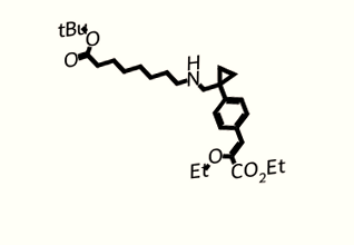 CCOC(=O)C(=Cc1ccc(C2(CNCCCCCCCC(=O)OC(C)(C)C)CC2)cc1)OCC